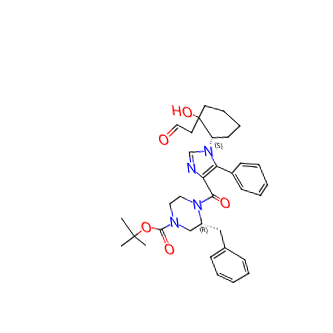 CC(C)(C)OC(=O)N1CCN(C(=O)c2ncn([C@H]3CCCCC3(O)CC=O)c2-c2ccccc2)[C@H](Cc2ccccc2)C1